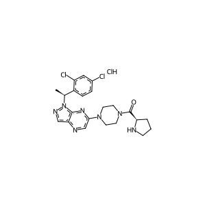 C[C@@H](c1ccc(Cl)cc1Cl)n1ncc2ncc(N3CCN(C(=O)[C@H]4CCCN4)CC3)nc21.Cl